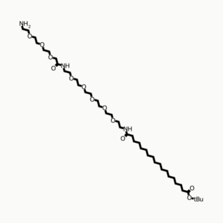 CC(C)(C)OC(=O)CCCCCCCCCCCCCCCCC(=O)NCCOCCOCCOCCOCCOCCNC(=O)COCCOCCOCCN